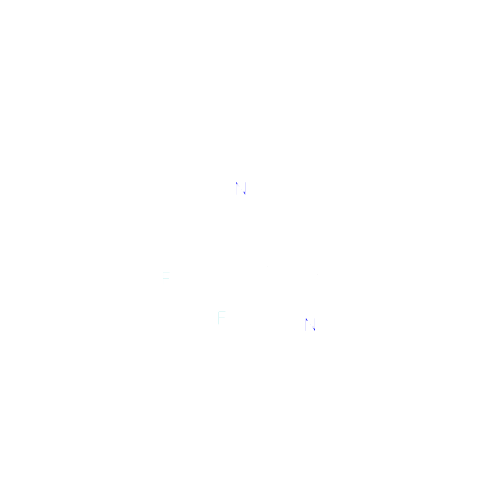 CN1CC(F)(F)C2(C1)CN(C)C2